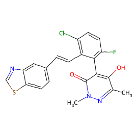 Cc1nn(C)c(=O)c(-c2c(F)ccc(Cl)c2/C=C/c2ccc3scnc3c2)c1O